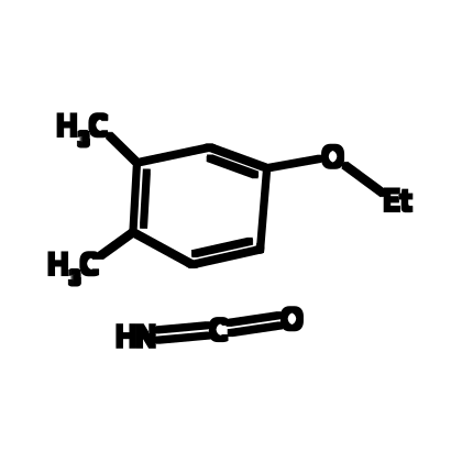 CCOc1ccc(C)c(C)c1.N=C=O